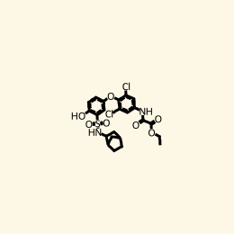 CCOC(=O)C(=O)Nc1cc(Cl)c(Oc2ccc(O)c(S(=O)(=O)NC3CC4CCC3C4)c2)c(Cl)c1